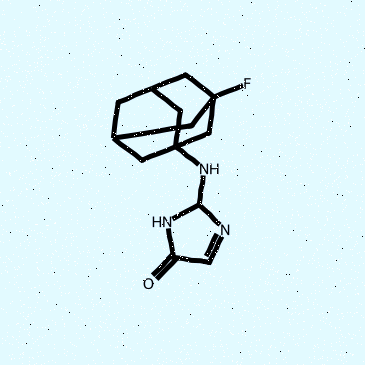 O=C1C=NC(NC23CC4CC(CC(F)(C4)C2)C3)N1